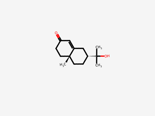 CC(C)(O)[C@@H]1CC[C@]2(C)CCC(=O)C=C2C1